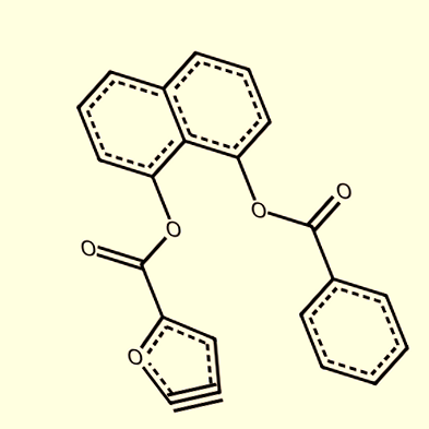 O=C(Oc1cccc2cccc(OC(=O)c3cc#co3)c12)c1ccccc1